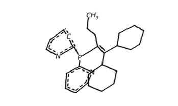 CCCC(=C(C1CCCCC1)C1CCCCC1)P(c1ccccn1)c1ccccn1